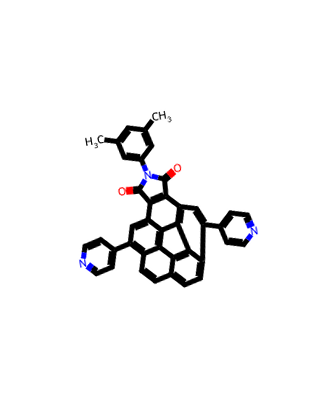 Cc1cc(C)cc(-n2c(=O)c3c4cc(-c5ccncc5)c5ccc6ccc7c(-c8ccncc8)cc(c3c2=O)c2c7c6c5c42)c1